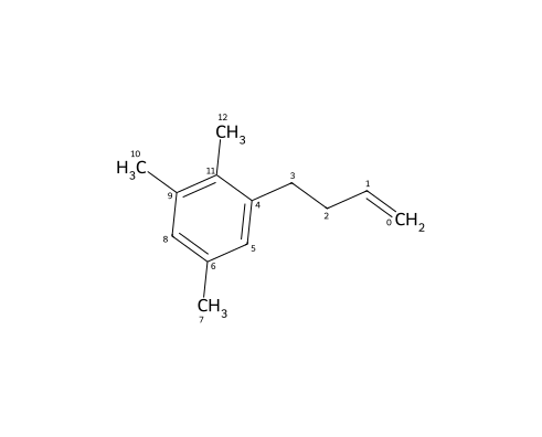 C=CCCc1cc(C)cc(C)c1C